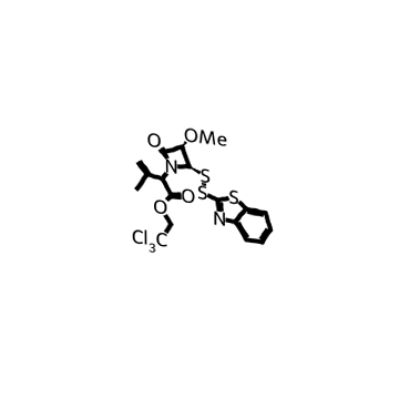 C=C(C)C(C(=O)OCC(Cl)(Cl)Cl)N1C(=O)[C@H](OC)[C@H]1SSc1nc2ccccc2s1